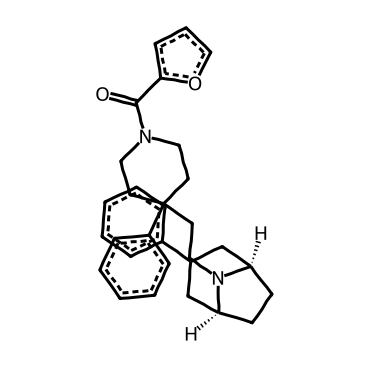 O=C(c1ccco1)N1CCC(CCN2[C@@H]3CC[C@H]2CC(c2ccccc2)C3)(c2ccccc2)CC1